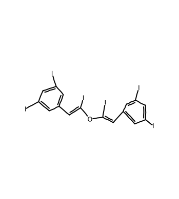 IC(=Cc1cc(I)cc(I)c1)OC(I)=Cc1cc(I)cc(I)c1